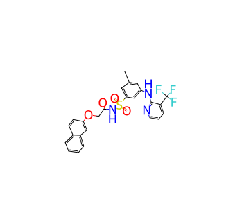 Cc1cc(Nc2ncccc2C(F)(F)F)cc(S(=O)(=O)NC(=O)COc2ccc3ccccc3c2)c1